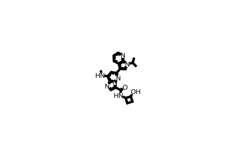 CNc1cc(-c2cn(C(C)C)c3ncccc23)nn2c(C(=O)NC3CCC3O)cnc12